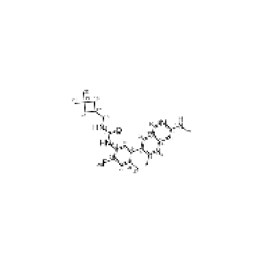 CNc1cc2nc(C)c(-c3cc(NC(=O)NCC4CC(C)(C)C4)c(F)cc3C)cc2cn1